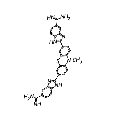 CN1c2ccc(-c3nc4cc(C(=N)N)ccc4[nH]3)cc2Sc2cc(-c3nc4cc(C(=N)N)ccc4[nH]3)ccc21